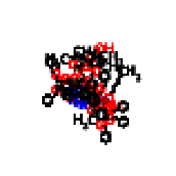 CCCCCCCOP(=O)(O)O[C@@H]1C(OCc2ccccc2)[C@H](OCc2ccccc2)C(OCc2ccccc2)C(C)[C@H]1O[C@H]1OC(COCc2ccccc2)[C@@H](O[C@H]2OC(CO[C@H]3OC(CC)[C@@H](C)[C@H](C)C3O[C@H]3OC(CO)[C@@H](C)[C@H](C)C3OCc3ccccc3)[C@@H](O[C@@H]3OC(COCc4ccccc4)[C@H](OCc4ccccc4)[C@H](C)C3NC(C)=O)[C@H](C)C2C)[C@H](C)C1N=[N+]=[N-]